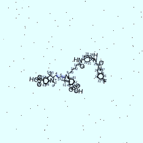 CC[N+]1=C(/C=C/C=C2/N(CCCCCC(=O)NC34CC5CC(C3)C(NCC(=O)N3Cc6ccc(F)cc6C3)(C5)C4)c3ccc(S(=O)(=O)O)cc3C2(C)C)C(C)(C)c2cc(S(=O)(=O)O)ccc21